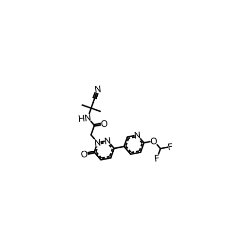 CC(C)(C#N)NC(=O)Cn1nc(-c2ccc(OC(F)F)nc2)ccc1=O